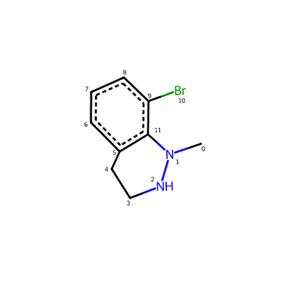 CN1NCCc2cccc(Br)c21